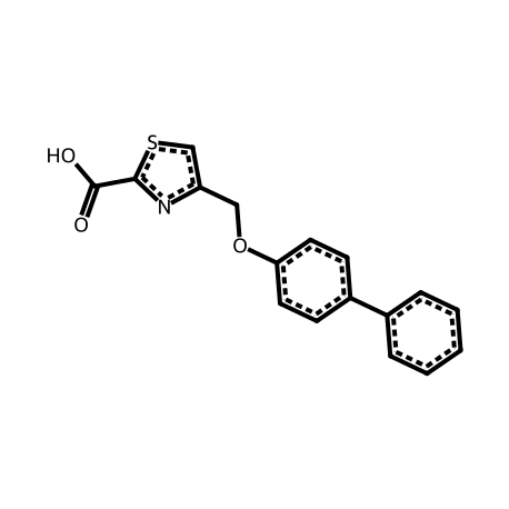 O=C(O)c1nc(COc2ccc(-c3ccccc3)cc2)cs1